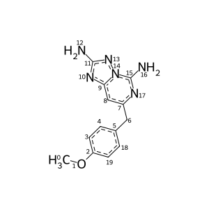 COc1ccc(Cc2cc3nc(N)nn3c(N)n2)cc1